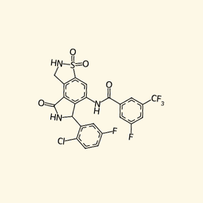 O=C(Nc1cc2c(c3c1C(c1cc(F)ccc1Cl)NC3=O)CNS2(=O)=O)c1cc(F)cc(C(F)(F)F)c1